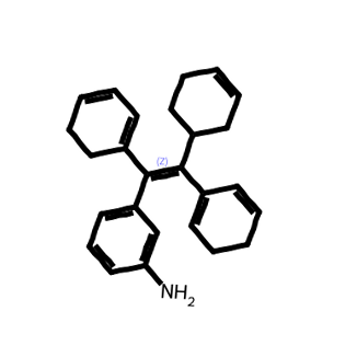 Nc1cccc(/C(C2=CC=CCC2)=C(\C2=CCCC=C2)C2CC=CCC2)c1